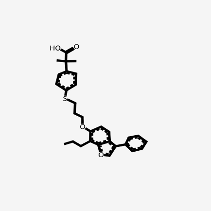 CCCc1c(OCCCSc2ccc(C(C)(C)C(=O)O)cc2)ccc2c(-c3ccccc3)coc12